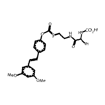 COc1cc(C=Cc2ccc(OC(=O)SCCNC(=O)C(NC(=O)O)C(C)C)cc2)cc(OC)c1